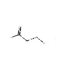 CCC(=O)CCC[C@@H](C)CC